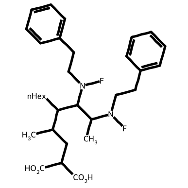 CCCCCCC(C(C)CC(C(=O)O)C(=O)O)C(C(C)N(F)CCc1ccccc1)N(F)CCc1ccccc1